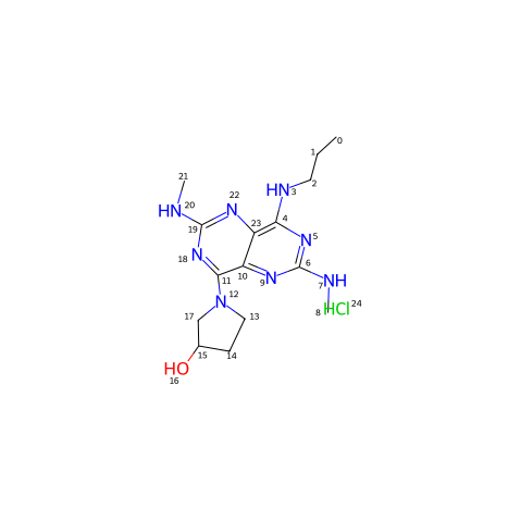 CCCNc1nc(NC)nc2c(N3CCC(O)C3)nc(NC)nc12.Cl